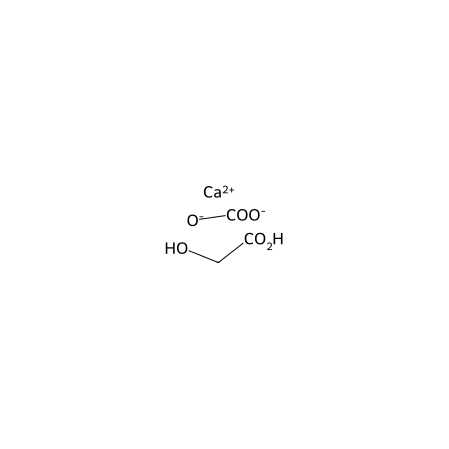 O=C(O)CO.O=C([O-])[O-].[Ca+2]